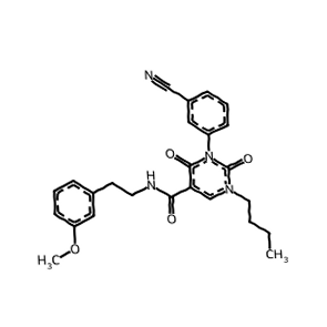 CCCCn1cc(C(=O)NCCc2cccc(OC)c2)c(=O)n(-c2cccc(C#N)c2)c1=O